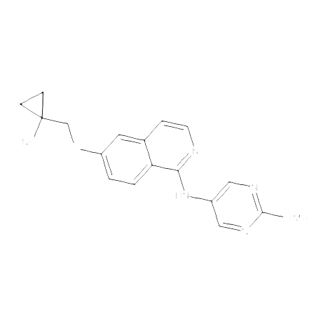 COc1ncc(Nc2nccc3cc(OCC4(C#N)CC4)ccc23)cn1